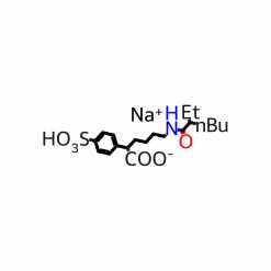 CCCCC(CC)C(=O)NCCCCC(C(=O)[O-])c1ccc(S(=O)(=O)O)cc1.[Na+]